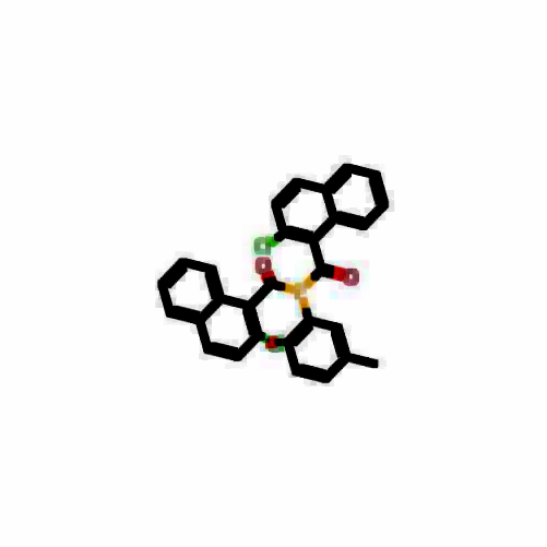 Cc1ccc(C)c(P(C(=O)c2c(Cl)ccc3ccccc23)C(=O)c2c(Cl)ccc3ccccc23)c1